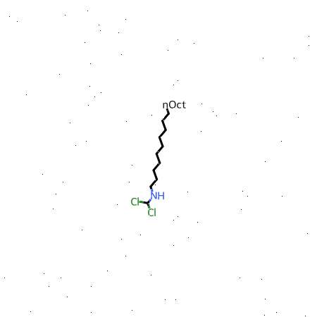 CCCCCCCCCCCCCCCCCCNC(Cl)Cl